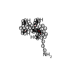 CCC1(C(=O)O)OC(OC2C(COS(=O)(=O)O)OC(OC3C(C(=O)O)CO[C@@H](C(O)OC4C(COS(=O)(=O)O)OC(OC)C(OS(=O)(=O)O)C4OC)C3OC)C(OS(=O)(=O)O)C2OS(=O)(=O)O)C(OC)C(OC)C1OC1OC(COS(=O)(=O)O)C(OCCOCCOCCOCCN)C(OC)C1OC